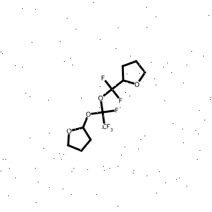 FC(F)(OC(F)(OC1CCCO1)C(F)(F)F)C1CCCO1